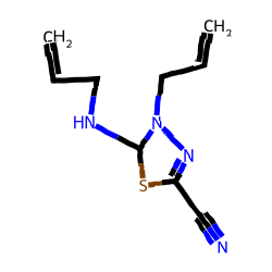 C=CCNC1SC(C#N)=NN1CC=C